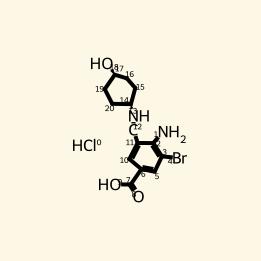 Cl.Nc1c(Br)cc(C(=O)O)cc1CN[C@H]1CC[C@H](O)CC1